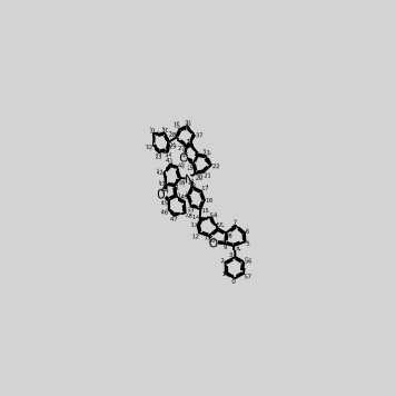 c1ccc(-c2cccc3c2oc2ccc(-c4ccc(N(c5cccc6c5oc5c(-c7ccccc7)cccc56)c5cccc6oc7ccccc7c56)cc4)cc23)cc1